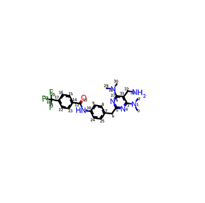 CN(C)c1nc(Cc2ccc(NC(=O)c3ccc(C(F)(F)F)cc3)cc2)nc(N(C)C)c1CN